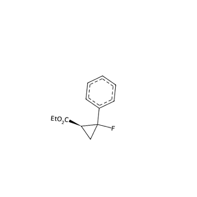 CCOC(=O)[C@@H]1CC1(F)c1ccccc1